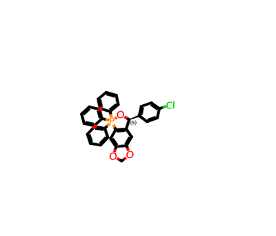 Clc1ccc([C@@H]2OP(c3ccccc3)(c3ccccc3)(c3ccccc3)c3cc4c(cc32)OCO4)cc1